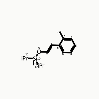 Cc1ccccc1C=CO[SiH](C(C)C)C(C)C